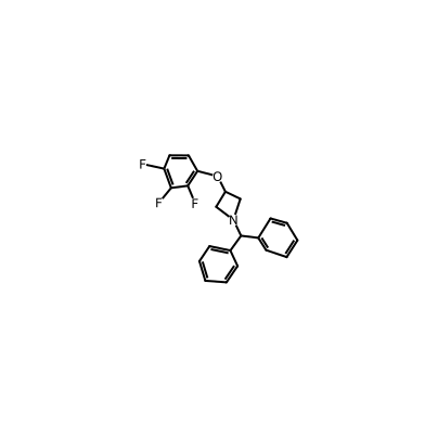 Fc1ccc(OC2CN(C(c3ccccc3)c3ccccc3)C2)c(F)c1F